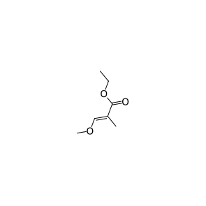 CCOC(=O)C(C)=COC